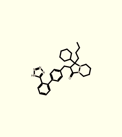 CCCCC1(C2CCCCC2)C(Cc2ccc(-c3ccccc3-c3nnn[nH]3)cc2)C(=O)N2CCCCN21